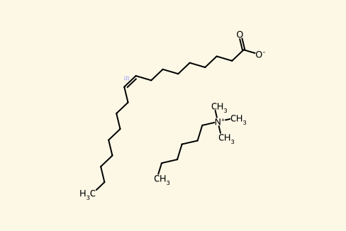 CCCCCCCC/C=C\CCCCCCCC(=O)[O-].CCCCCC[N+](C)(C)C